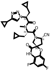 CN(C(=O)[C@H](CC1CC1)n1cc(C2CC2)nn1)[C@@H](CC1CC1)C(=O)N1C[C@@]2(C[C@H]1C#N)Oc1cc(F)cc(F)c1NC2=O